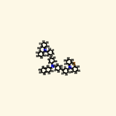 c1cc(-c2ccc(N(c3ccc(-c4cccc(N5c6ccccc6Sc6ccccc65)c4)cc3)c3ccc4ccccc4c3)cc2)cc(N2c3ccccc3Cc3ccccc32)c1